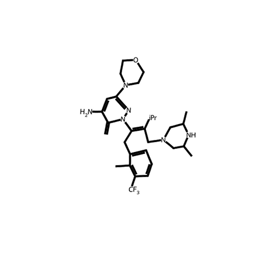 C=C1C(N)=CC(N2CCOCC2)=NN1/C(Cc1cccc(C(F)(F)F)c1C)=C(/CN1CC(C)NC(C)C1)C(C)C